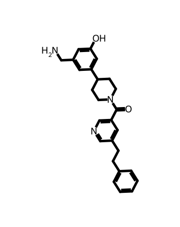 NCc1cc(O)cc(C2CCN(C(=O)c3cncc(CCc4ccccc4)c3)CC2)c1